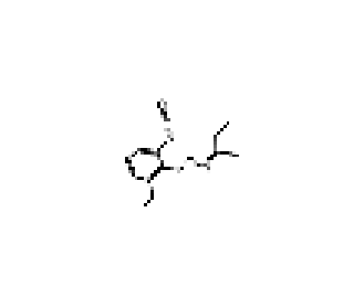 CCC(C)=NOCc1c(CC)cccc1N=C=O